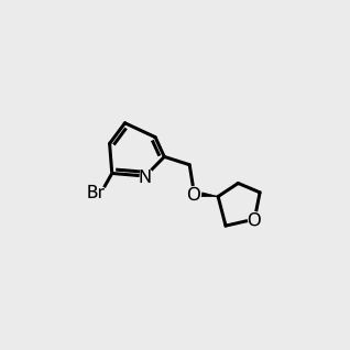 Brc1cccc(CO[C@H]2CCOC2)n1